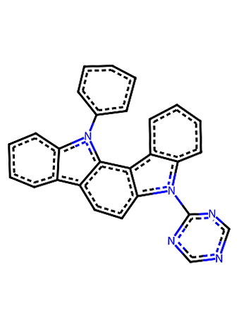 c1ccc(-n2c3ccccc3c3ccc4c(c5ccccc5n4-c4ncncn4)c32)cc1